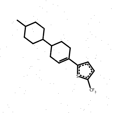 CC1CCC(C2CC=C(c3ccc(C(F)(F)F)s3)CC2)CC1